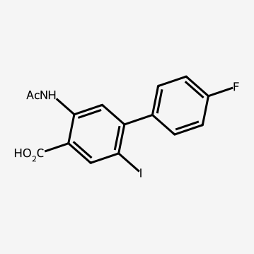 CC(=O)Nc1cc(-c2ccc(F)cc2)c(I)cc1C(=O)O